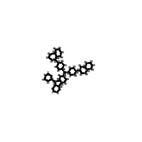 c1ccc(-n2c3ccccc3c3ccc(N(c4ccc(-c5ccc6ccccc6c5)cc4)c4ccc(-c5cccc6ccccc56)cc4)cc32)cc1